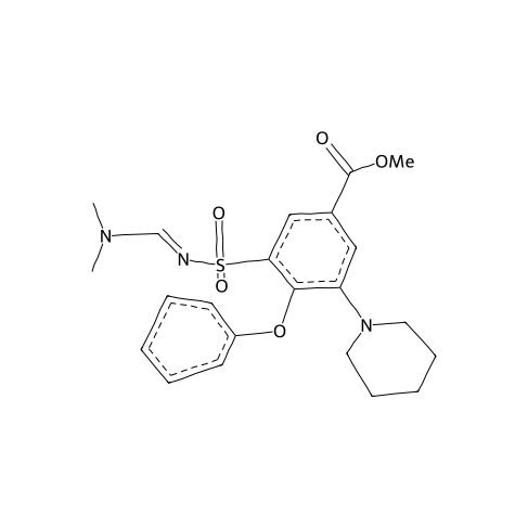 COC(=O)c1cc(N2CCCCC2)c(Oc2ccccc2)c(S(=O)(=O)N=CN(C)C)c1